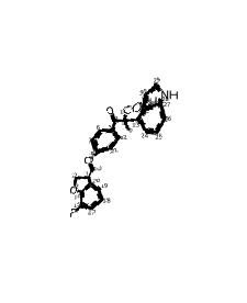 CC(C(=O)O)(C(=O)c1ccc(OC[C@@H]2COc3c(F)cccc32)cc1)c1cccc2[nH]ccc12